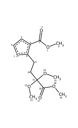 COC(=O)c1ccsc1CCC(OC)(OC)C(=O)OC